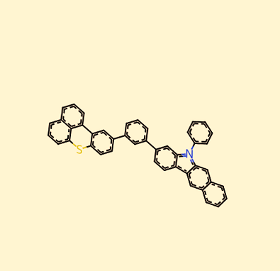 c1ccc(-n2c3cc(-c4cccc(-c5ccc6c(c5)-c5cccc7cccc(c57)S6)c4)ccc3c3cc4ccccc4cc32)cc1